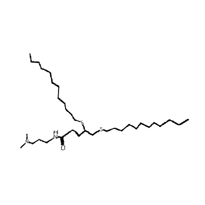 CCCCCCCCCCCCSCC(CCC(=O)NCCCN(C)C)SCCCCCCCCCCCC